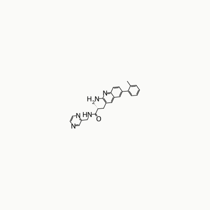 Cc1ccccc1-c1ccc2nc(N)c(C[C@@H](C)C(=O)NCc3cnccn3)cc2c1